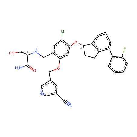 N#Cc1cncc(COc2cc(O[C@H]3CCc4c(-c5ccccc5F)cccc43)c(Cl)cc2CN[C@H](CO)C(N)=O)c1